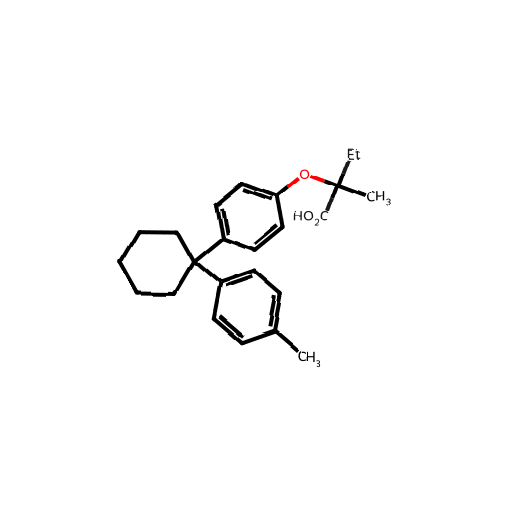 CCC(C)(Oc1ccc(C2(c3ccc(C)cc3)CCCCC2)cc1)C(=O)O